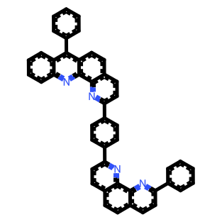 c1ccc(-c2ccc3ccc4ccc(-c5ccc(-c6ccc7ccc8c(-c9ccccc9)c9ccccc9nc8c7n6)cc5)nc4c3n2)cc1